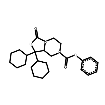 O=C(Oc1ccccc1)N1CCN2C(=O)OC(C3CCCCC3)(C3CCCCC3)C2C1